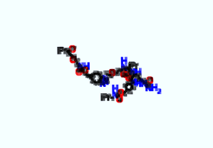 CC(C)CNC(=O)OCc1ccc(NC(=O)[C@H](CCCNC(N)=O)NC(=O)[C@@H](NC(=O)CCOCCn2nnc3c2CCC2C(CC3)C2COC(=O)NCCOCCC(=O)C(C)C)C(C)C)cc1